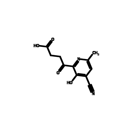 Cc1cc(C#N)c(O)c(C(=O)CCC(=O)O)n1